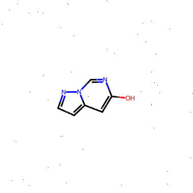 Oc1cc2ccnn2cn1